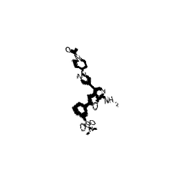 CC(=O)N1CCC(n2cc(-c3cnc(N)c4oc(-c5cccc(S(=O)(=O)N(C)C)c5)cc34)cn2)CC1